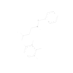 Cc1c(Cl)ccc(OC(C)CCC(=O)Nc2ccccc2)c1Cl